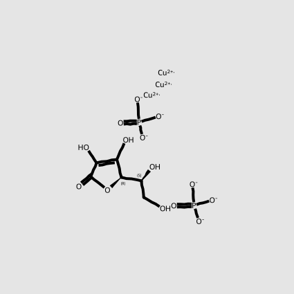 O=C1O[C@H]([C@@H](O)CO)C(O)=C1O.O=P([O-])([O-])[O-].O=P([O-])([O-])[O-].[Cu+2].[Cu+2].[Cu+2]